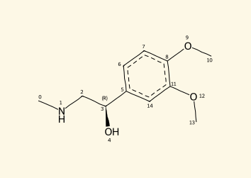 CNC[C@H](O)c1ccc(OC)c(OC)c1